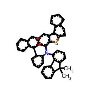 CC1(C)c2ccccc2-c2c(N(c3ccccc3-c3cccc4ccccc34)c3cccc4c3sc3ccc5ccccc5c34)cccc21